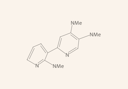 CNc1cnc(-c2cccnc2NC)cc1NC